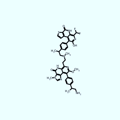 COc1nc(CCN(C)CC(C)c2ccc(-c3c(O)nc(C(F)F)c4[nH]c(=O)c5sccc5c34)cc2)c2[nH]c(=O)c3c(ncn3C)c2c1-c1ccc(C(C)CN)cc1